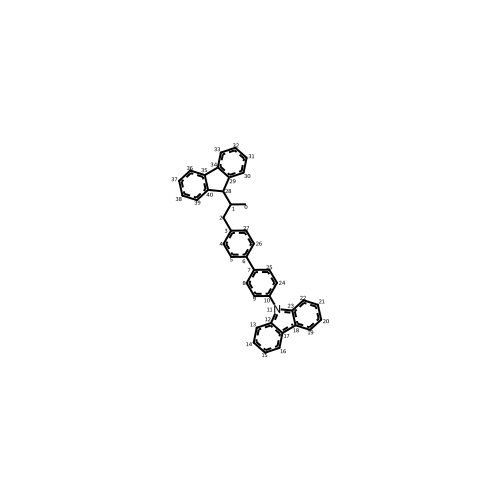 CC(Cc1ccc(-c2ccc(-n3c4ccccc4c4ccccc43)cc2)cc1)C1c2ccccc2-c2ccccc21